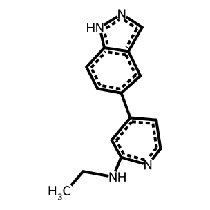 CCNc1cc(-c2ccc3[nH]ncc3c2)ccn1